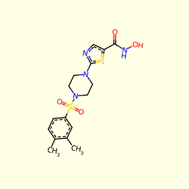 Cc1ccc(S(=O)(=O)N2CCN(c3ncc(C(=O)NO)s3)CC2)cc1C